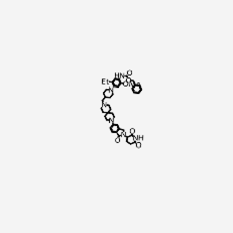 CCc1cc(NC(=O)OCc2ccccc2)c(OC)cc1N1CCC(CN2CCC3(CC2)CCN(c2ccc4c(c2)CN(C2CCC(=O)NC2=O)C4=O)CC3)CC1